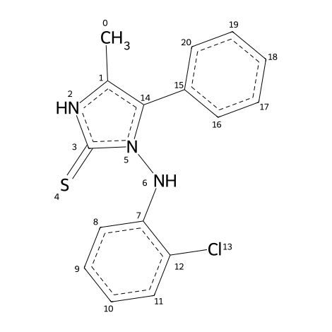 Cc1[nH]c(=S)n(Nc2ccccc2Cl)c1-c1ccccc1